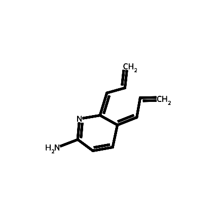 C=C/C=c1/ccc(N)n/c1=C/C=C